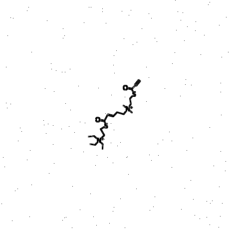 C#CC(=O)SCC[N+](C)(C)CC/C=C/C(=O)SCC[N+](CC)(CC)CC